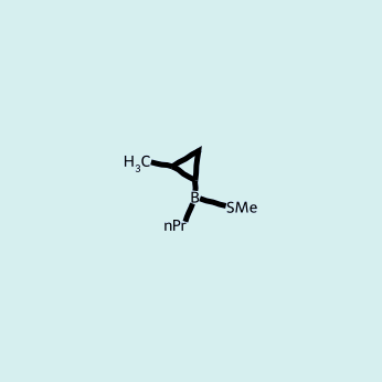 CCCB(SC)C1CC1C